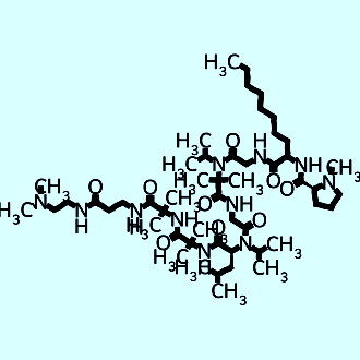 CCCCCCCCC(NC(=O)[C@@H]1CCCN1C)C(=O)NCC(=O)N(C(C)C)C(C)(C)C(=O)NCC(=O)N(C(C)C)[C@@H](CC(C)C)C(=O)NC(C)(C)C(=O)NC(C)(C)C(=O)NCCC(=O)NCCN(C)C